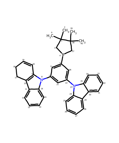 CC1(C)CB(c2cc(-n3c4c(c5ccccc53)CCC=C4)cc(-n3c4ccccc4c4ccccc43)c2)CC1(C)C